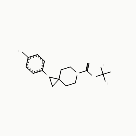 CC(C)(C)OC(=O)N1CCC2(CC1)C[C@H]2c1ccc(Br)cc1